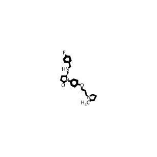 CC1CCCN1CCCOc1ccc(N2C(=O)CC[C@H]2CNCc2ccc(F)cc2)cc1